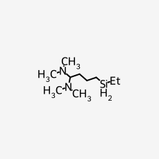 CC[SiH2]CCCC(N(C)C)N(C)C